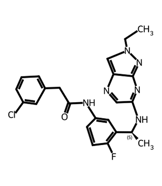 CCn1cc2ncc(N[C@@H](C)c3cc(NC(=O)Cc4cccc(Cl)c4)ccc3F)nc2n1